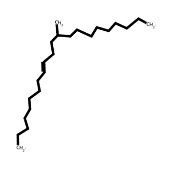 [CH2]CCCCCCCC=CCCC(C)CCCCCCCC[CH2]